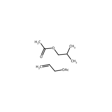 C=CCOC(C)=O.CC(=O)OCC(C)C